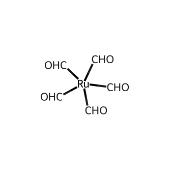 O=[CH][Ru]([CH]=O)([CH]=O)([CH]=O)[CH]=O